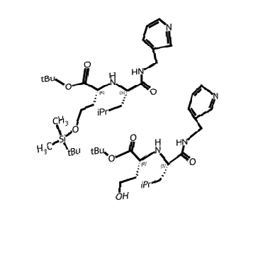 CC(C)C[C@H](N[C@H](CCO)C(=O)OC(C)(C)C)C(=O)NCc1cccnc1.CC(C)C[C@H](N[C@H](CCO[Si](C)(C)C(C)(C)C)C(=O)OC(C)(C)C)C(=O)NCc1cccnc1